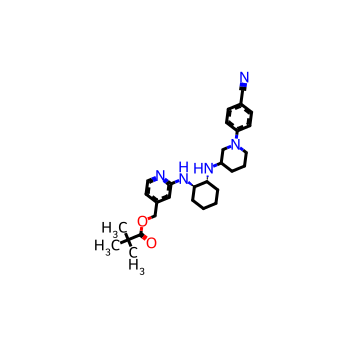 CC(C)(C)C(=O)OCc1ccnc(N[C@@H]2CCCC[C@H]2NC2CCCN(c3ccc(C#N)cc3)C2)c1